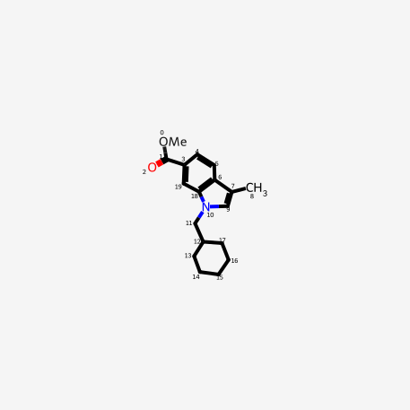 COC(=O)c1ccc2c(C)cn(CC3CCCCC3)c2c1